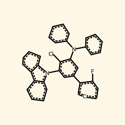 Fc1ccccc1-c1cc(N(c2ccccc2)c2ccccc2)c(Cl)c(-n2c3ccccc3c3ccccc32)c1